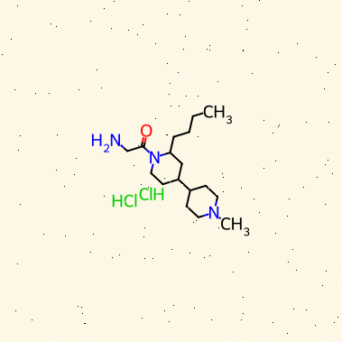 CCCCC1CC(C2CCN(C)CC2)CCN1C(=O)CN.Cl.Cl